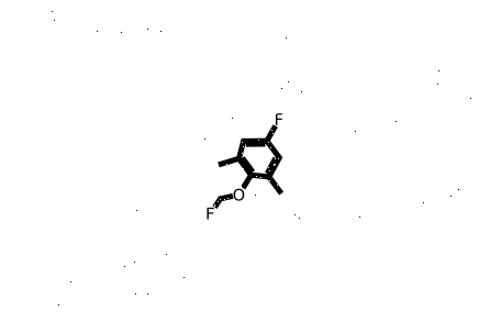 Cc1cc(F)cc(C)c1OCF